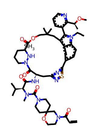 C=CC(=O)N1CCOC2(CCN(C(=O)N(C)[C@H](C(=O)N[C@H]3Cc4nsc(n4)-c4ccc5c(c4)c(c(-c4cccnc4[C@H](C)OC)n5CC)CC(C)(C)COC(=O)[C@@]4([SiH3])CCCN(N4)C3=O)C(C)C)CC2)C1